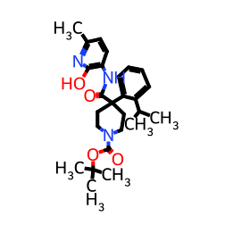 Cc1ccc(NC(=O)C2(c3ccccc3C(C)C)CCN(C(=O)OC(C)(C)C)CC2)c(O)n1